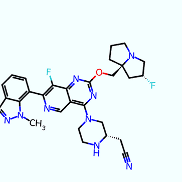 Cn1ncc2cccc(-c3ncc4c(N5CCN[C@@H](CC#N)C5)nc(OC[C@@]56CCCN5C[C@H](F)C6)nc4c3F)c21